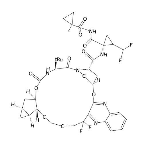 CC(C)(C)[C@@H]1NC(=O)O[C@@H]2C[C@@H]3C[C@@H]3[C@H]2CCCCC(F)(F)c2nc3ccccc3nc2O[C@@H]2C[C@@H](C(=O)N[C@]3(C(=O)NS(=O)(=O)C4(C)CC4)CC3C(F)F)N(C2)C1=O